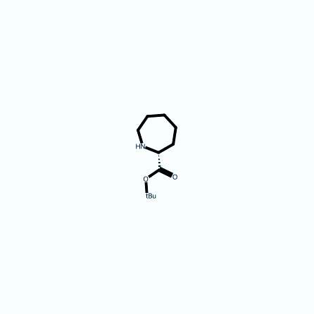 CC(C)(C)OC(=O)[C@H]1CCCCCN1